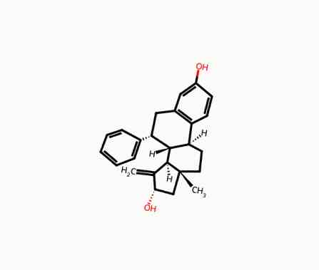 C=C1[C@@H](O)C[C@@]2(C)CC[C@@H]3c4ccc(O)cc4C[C@@H](c4ccccc4)[C@H]3[C@H]12